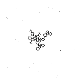 CC(C)(C)c1ccc2c(c1)B1C3=C(C=C(N(c4ccccc4)c4ccccc4)CC3)N(c3cccc(-c4ccc5oc6ccccc6c5c4)c3)c3cc(C(C)(C)C)cc(c31)N2c1ccc(C(C)(C)C)cc1C1=CCCC=C1